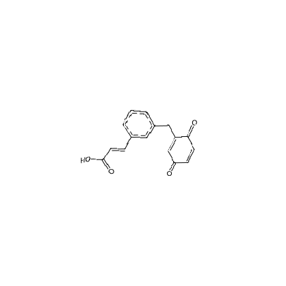 O=C(O)C=Cc1cccc(CC2=CC(=O)C=CC2=O)c1